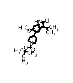 COc1cc2[nH]c(Cl)c(C(C)C)c2cc1C1=CCN(C(=O)OC(C)(C)C)CC1